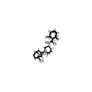 CCC12CCC(CC(N3CCC[C@@H](NC(=O)c4c(F)cccc4F)C3)C1)N2C(=O)O